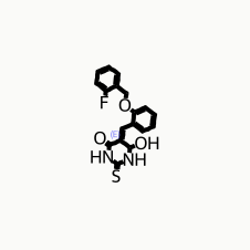 O=C1NC(=S)NC(O)/C1=C\c1ccccc1OCc1ccccc1F